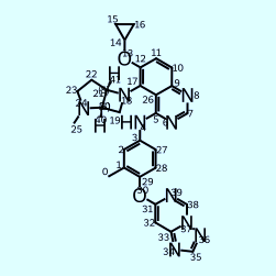 Cc1cc(Nc2ncnc3ccc(OC4CC4)c(N4C[C@H]5[C@@H]4CCN5C)c23)ccc1Oc1cc2ncnn2cn1